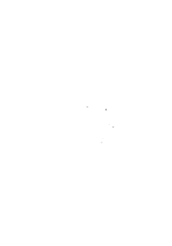 [CH2]CCCC[Si](C)(C)O[Si](C)(C)O[Si](C)(C)O[Si](C)(C)C